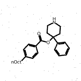 CCCCCCCCc1ccc(C(=O)OC2(c3ccccc3)CCNCC2)cc1